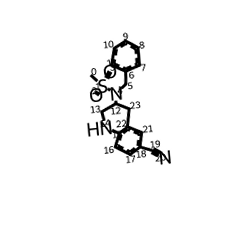 CS(=O)(=O)N(Cc1ccccc1)C1CNc2ccc(C#N)cc2C1